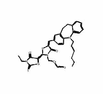 CCCCCCN1c2ccccc2CCc2cc(/C=c3/s/c(=C4/SC(=S)N(CC)C4=O)n(COC=O)c3=O)ccc21